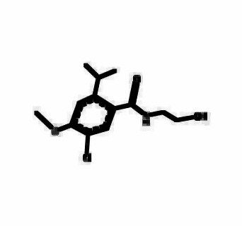 COc1cc(C(C)C)c(C(=O)NCCO)cc1Cl